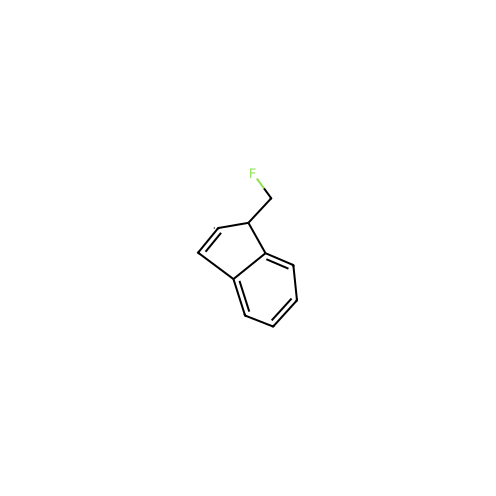 FCC1[C]=Cc2ccccc21